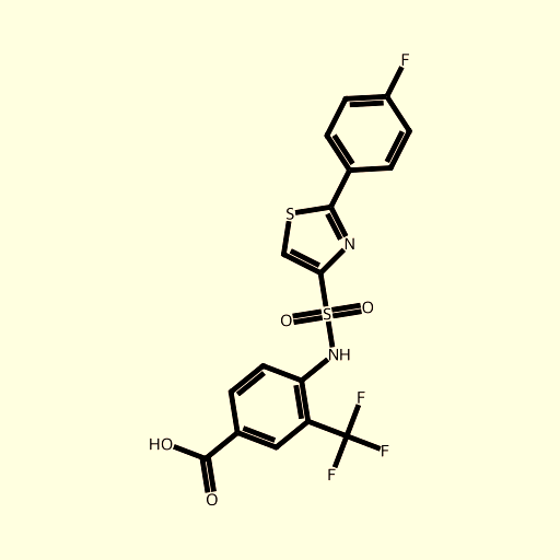 O=C(O)c1ccc(NS(=O)(=O)c2csc(-c3ccc(F)cc3)n2)c(C(F)(F)F)c1